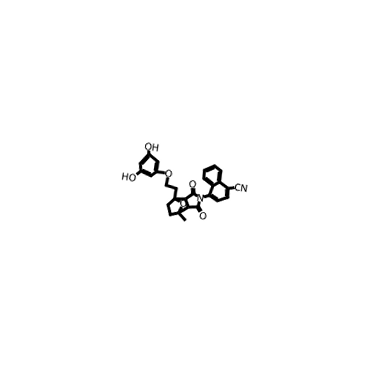 CC12CCC(CCOc3cc(O)cc(O)c3)(O1)C1C(=O)N(c3ccc(C#N)c4ccccc34)C(=O)C12